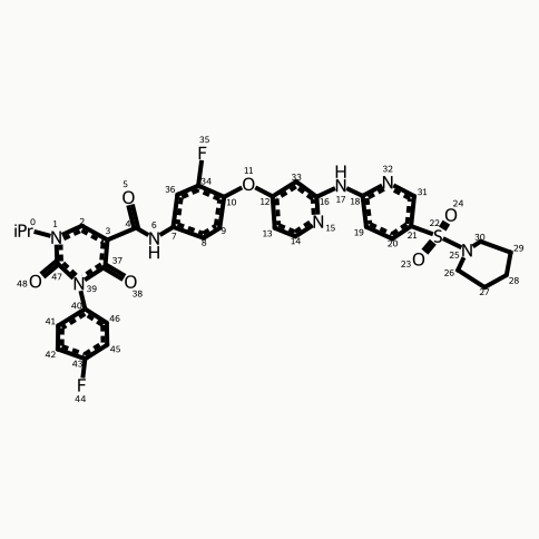 CC(C)n1cc(C(=O)Nc2ccc(Oc3ccnc(Nc4ccc(S(=O)(=O)N5CCCCC5)cn4)c3)c(F)c2)c(=O)n(-c2ccc(F)cc2)c1=O